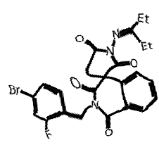 CCC(CC)=NN1C(=O)CC2(C(=O)N(Cc3ccc(Br)cc3F)C(=O)c3ccccc32)C1=O